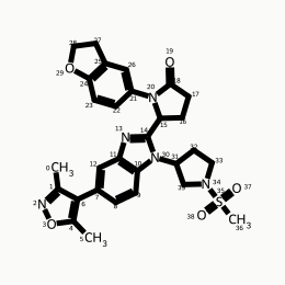 Cc1noc(C)c1-c1ccc2c(c1)nc(C1CCC(=O)N1c1ccc3c(c1)CCO3)n2C1CCN(S(C)(=O)=O)C1